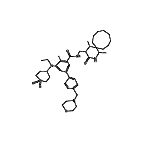 CCN(c1cc(-c2ccc(CN3CCOCC3)cc2)cc(C(=O)NCC2C(=O)NC(C)C3(CCCCCCCC3)C2C)c1C)C1CCS(=O)(=O)CC1